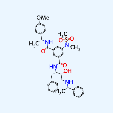 COc1ccc([C@@H](C)NC(=O)c2cc(C(=O)N[C@@H](Cc3ccccc3)[C@H](O)CN[C@@H](C)c3ccccc3)cc(N(C)S(C)(=O)=O)c2)cc1